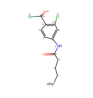 CCCCCCCCCCCCCC(=O)Nc1ccc(C(=O)Cl)c(Cl)c1